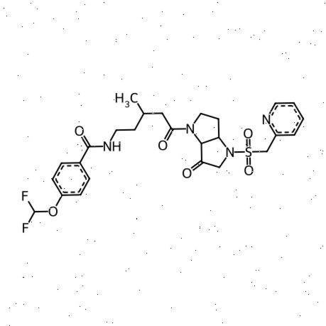 CC(CCNC(=O)c1ccc(OC(F)F)cc1)CC(=O)N1CCC2C1C(=O)CN2S(=O)(=O)Cc1ccccn1